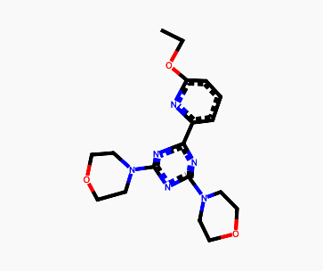 CCOc1cccc(-c2nc(N3CCOCC3)nc(N3CCOCC3)n2)n1